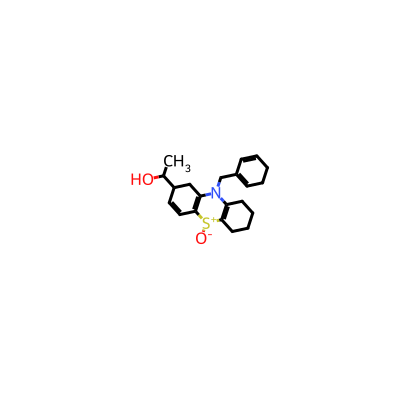 CC(O)C1C=CC2=C(C1)N(CC1=CCCC=C1)C1=C(CCCC1)[S+]2[O-]